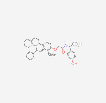 CSc1c(OCC(=O)N[C@@H](C(=O)O)c2ccc(O)cc2)ccc2c1=CC(c1ccccc1)c1c3c(ccc1=2)=CCCC3